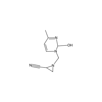 CC1=NC(O)N(CN2CC2C#N)C=C1